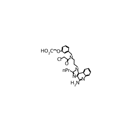 CCCc1nc2c(N)nc3ccccc3c2n1CCCN(Cc1cccc(OCC(=O)O)c1)C(=O)CCl